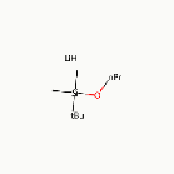 [CH2]CCO[Si](C)(C)C(C)(C)C.[LiH]